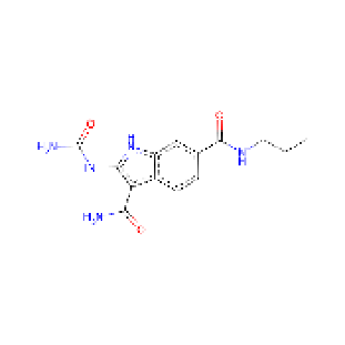 CCCNC(=O)c1ccc2c(C(N)=O)c(NC(N)=O)[nH]c2c1